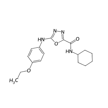 CCOc1ccc(Nc2nnc(C(=O)NC3CCCCC3)o2)cc1